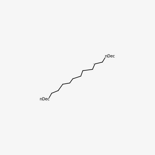 CCCCCCCCCCC[CH]CCCCCCCCCCCCCCCCCC